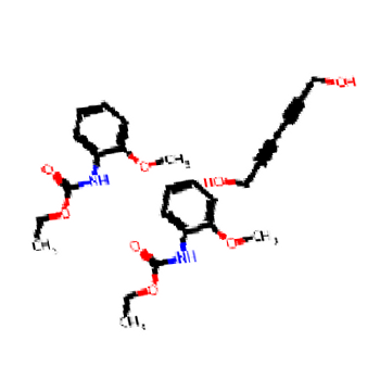 CCOC(=O)Nc1ccccc1OC.CCOC(=O)Nc1ccccc1OC.OCC#CC#CCO